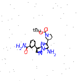 CC(C)(C)OC(=O)N1CCCC(c2cc(N)n3ncc(-c4cccc(C(N)=O)c4)c3n2)C1